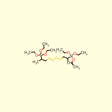 CCO[Si](OCC)(OCC)C(C)CSSSSCC(C)[Si](OCC)(OCC)OCC